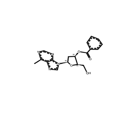 Cc1ncnc2c1ncn2[C@H]1C[C@@H](OC(=O)c2ccccc2)[C@@H](CO)O1